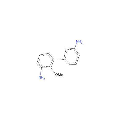 COc1c(N)cccc1-c1cccc(N)c1